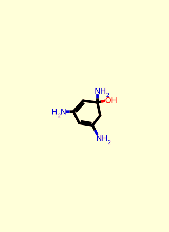 NC1=CC(N)(O)CC(N)=C1